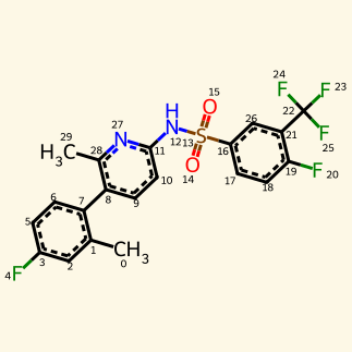 Cc1cc(F)ccc1-c1ccc(NS(=O)(=O)c2ccc(F)c(C(F)(F)F)c2)nc1C